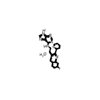 Fc1ccc2cc(CCNc3ncnc4[nH]cnc34)c(-c3ccccn3)nc2c1.O